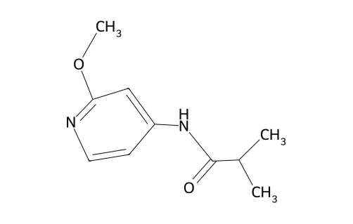 COc1cc(NC(=O)C(C)C)ccn1